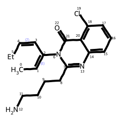 C/C=C(\C=C/CC)n1c(CCCCN)nc2cccc(Cl)c2c1=O